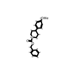 COc1ccc(C2CCN(C(=O)OCc3ccccc3)CC2)cc1